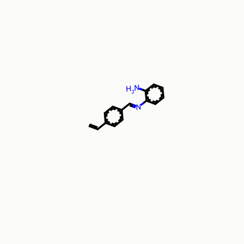 C=Cc1ccc(C=Nc2ccccc2N)cc1